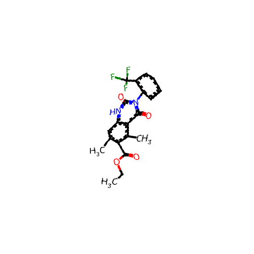 CCOC(=O)c1c(C)cc2[nH]c(=O)n(-c3ccccc3C(F)(F)F)c(=O)c2c1C